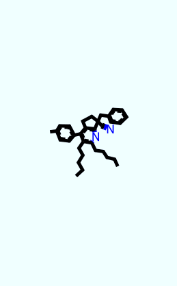 CCCCCc1nc2c(c(-c3ccc(C)cc3)c1CCCCC)CCC2(C#N)Cc1ccccc1